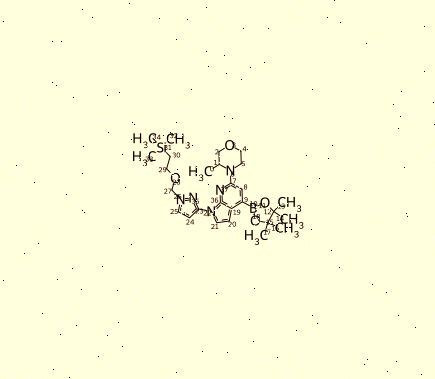 CC1COCCN1c1cc(B2OC(C)(C)C(C)(C)O2)c2ccn(-c3ccn(COCC[Si](C)(C)C)n3)c2n1